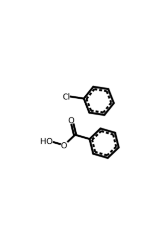 Clc1ccccc1.O=C(OO)c1ccccc1